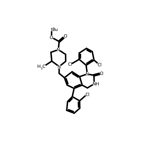 CC1CN(C(=O)OC(C)(C)C)CCN1Cc1cc(-c2ccccc2Cl)c2c(c1)N(c1c(Cl)cccc1Cl)C(=O)NC2